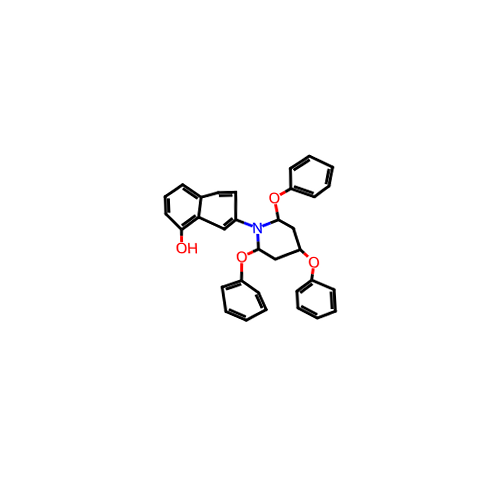 Oc1cccc2ccc(N3C(Oc4ccccc4)CC(Oc4ccccc4)CC3Oc3ccccc3)cc12